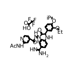 CCOc1cc(C(Nc2ccc(C(=N)N)cc2)C(=O)NNC(=O)c2ccnc(NC(C)=O)c2)ccc1OC(C)C.O=C(O)C(F)(F)F